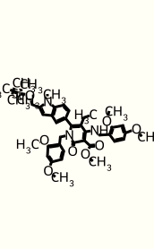 CCc1c(NCc2ccc(OC)cc2OC)c(C(=O)OC)c(=O)n(Cc2ccc(OC)cc2OC)c1-c1ccc2c(c1)cc(CO[Si](C)(C)C(C)(C)C)n2C